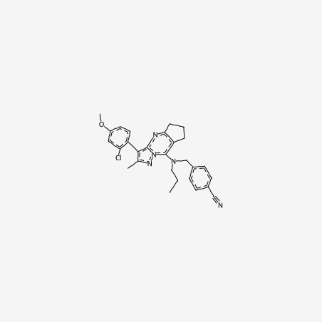 CCCN(Cc1ccc(C#N)cc1)c1c2c(nc3c(-c4ccc(OC)cc4Cl)c(C)nn13)CCC2